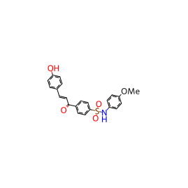 COc1ccc(NS(=O)(=O)c2ccc(C(=O)C=Cc3ccc(O)cc3)cc2)cc1